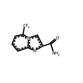 NC(=O)c1cn2c(C(F)(F)F)cccc2n1